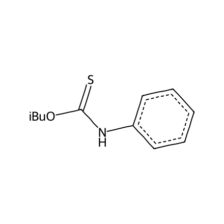 CC(C)COC(=S)Nc1ccccc1